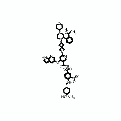 CC(C)c1ccccc1C1CN(C2CCOCC2)CCN1C1CC2(C1)CN(c1cc(Oc3cnc4[nH]ccc4c3)c(C(=O)NS(=O)(=O)c3ccc(NC[C@H]4CC[C@](C)(O)CC4)c([N+](=O)[O-])c3)cn1)C2